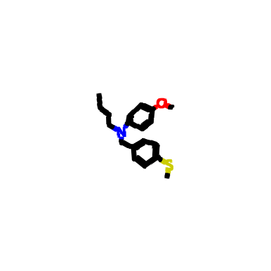 CCCCN(Cc1ccc(SC)cc1)c1ccc(OC)cc1